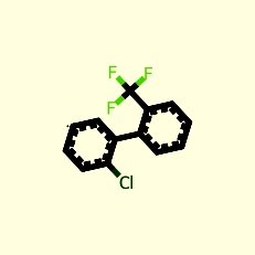 FC(F)(F)c1ccccc1-c1c[c]ccc1Cl